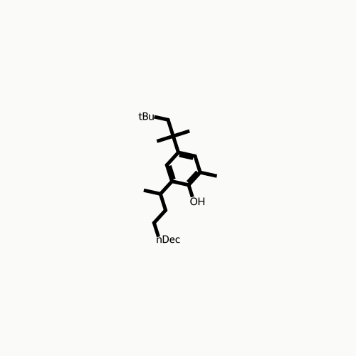 CCCCCCCCCCCCC(C)c1cc(C(C)(C)CC(C)(C)C)cc(C)c1O